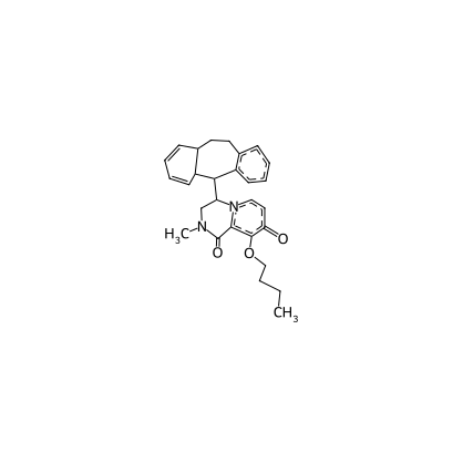 CCCCOc1c2n(ccc1=O)C(C1c3ccccc3CCC3C=CC=CC31)CN(C)C2=O